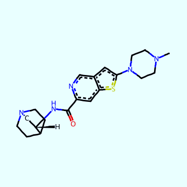 CN1CCN(c2cc3cnc(C(=O)N[C@H]4CN5CCC4CC5)cc3s2)CC1